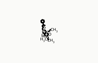 CCCCN1C(=O)[C@H](CC(C)C)NC(=O)C12CCN(Cc1cc(-c3ccccc3)cs1)CC2